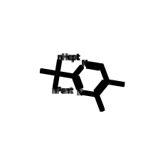 CCCCCCCC(C)(CCCCC)c1ncc(C)c(C)n1